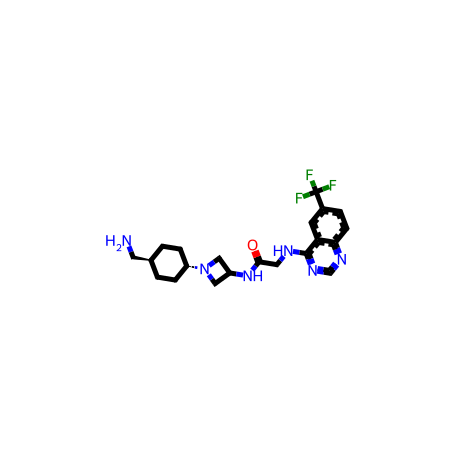 NC[C@H]1CC[C@H](N2CC(NC(=O)CNc3ncnc4ccc(C(F)(F)F)cc34)C2)CC1